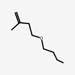 C=C(C)CCOCCCC